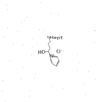 CCCCCCCCCCC(O)[n+]1ccccc1.[Cl-]